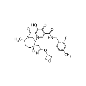 Cc1ccc(CNC(=O)c2cn3c(c(O)c2=O)C(=O)N2CC3[C@]3(CC[C@@H]2C)CC(OC2COC2)=NO3)c(F)c1